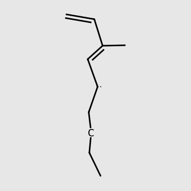 C=CC(C)=C[CH]CCCC